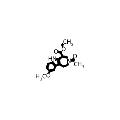 CCOC(=O)C1=CN(C(C)=O)CCc2c1[nH]c1ccc(OC)cc21